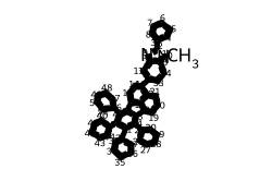 Cn1c(-c2ccccc2)nc2cc(-c3ccc4c5c(cccc35)-c3c(-c5ccccc5)c(-c5ccccc5)c(-c5ccccc5)c(-c5ccccc5)c3-4)ccc21